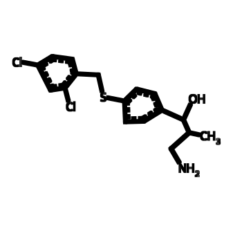 CC(CN)C(O)c1ccc(SCc2ccc(Cl)cc2Cl)cc1